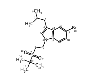 CC(C)Cc1cn(CCS(=O)(=O)C(C)(C)C)c2ccc(Br)cc12